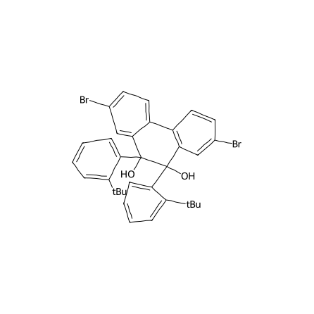 CC(C)(C)c1ccccc1C1(O)c2cc(Br)ccc2-c2ccc(Br)cc2C1(O)c1ccccc1C(C)(C)C